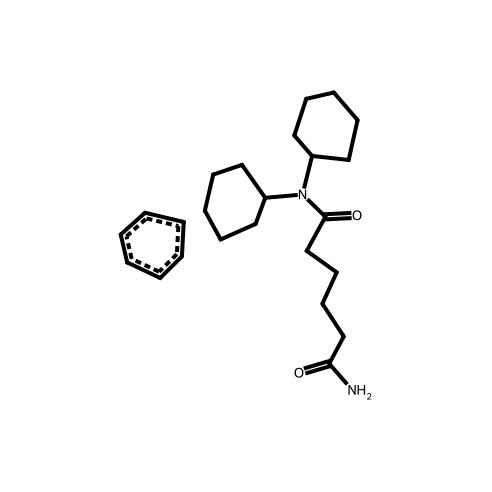 NC(=O)CCCCC(=O)N(C1CCCCC1)C1CCCCC1.c1ccccc1